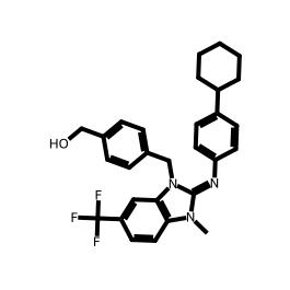 Cn1/c(=N/c2ccc(C3CCCCC3)cc2)n(Cc2ccc(CO)cc2)c2cc(C(F)(F)F)ccc21